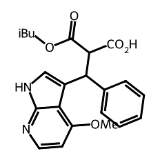 CCC(C)OC(=O)C(C(=O)O)C(c1ccccc1)c1c[nH]c2nccc(OC)c12